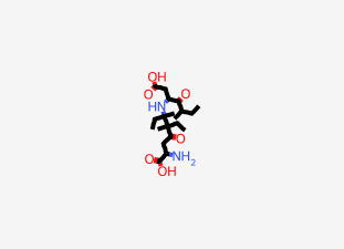 CCC(C)C(=O)C(CC(=O)O)NC(C)(CC)C(C)(CC)C(=O)CC(N)C(=O)O